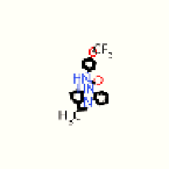 Cc1cn(-c2ccccc2NC(=O)Nc2ccc(OC(F)(F)F)cc2)c2ccccc12